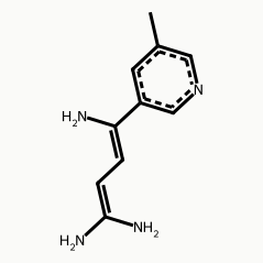 Cc1cncc(/C(N)=C/C=C(N)N)c1